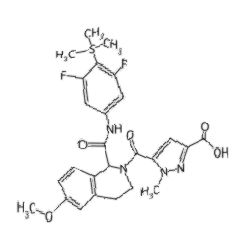 COc1ccc2c(c1)CCN(C(=O)c1cc(C(=O)O)nn1C)C2C(=O)Nc1cc(F)c(S(C)(C)C)c(F)c1